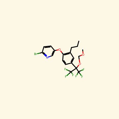 CCCc1cc(C(OCOC)(C(F)(F)F)C(F)(F)F)ccc1Oc1ccc(Br)nc1